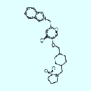 O=c1cc(Cn2cc3ccccc3c2)occ1OCC1CCC(CN2CCCS2(=O)=O)CC1